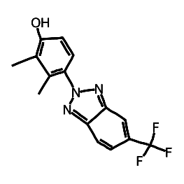 Cc1c(O)ccc(-n2nc3ccc(C(F)(F)F)cc3n2)c1C